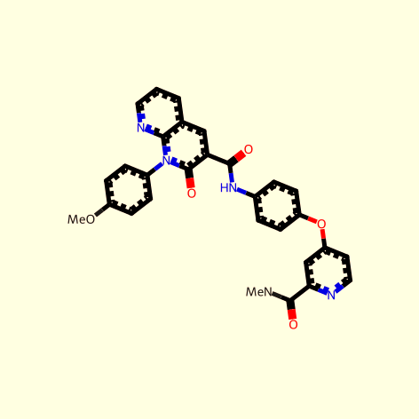 CNC(=O)c1cc(Oc2ccc(NC(=O)c3cc4cccnc4n(-c4ccc(OC)cc4)c3=O)cc2)ccn1